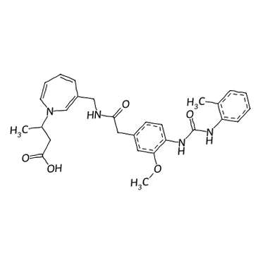 COc1cc(CC(=O)NCC2=CN(C(C)CC(=O)O)C=CC=C2)ccc1NC(=O)Nc1ccccc1C